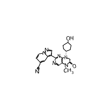 CN1C(=O)CN([C@H]2CC[C@H](O)CC2)c2nc(-c3cnn4ccc(C#N)cc34)ncc21